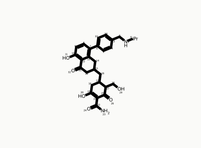 CC(C)NCc1ccc(-c2ccc(O)c3c2CC(CC2CC(O)=C(C(N)=O)C(=O)C2CO)CC3=O)cc1